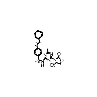 CCC1COC(=O)N1c1nc(C)nc(N[C@H](C)c2ccc(OCc3ccccc3)cc2)n1